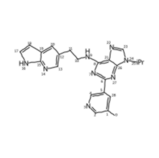 Cc1cncc(-c2nc(NCCc3cnc4[nH]ccc4c3)c3ncn(C(C)C)c3n2)c1